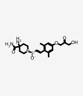 Cc1cc(OCC(=O)CO)cc(C)c1/C=C/[S@+]([O-])N1CCC(N)(C(N)=O)CC1